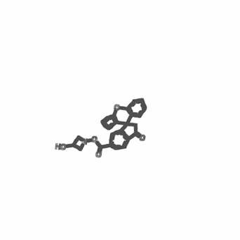 O=C(ON1CC(O)C1)c1ccc2c(c1)C1(CC2=O)c2ccccc2Oc2ccccc21